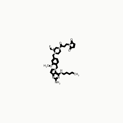 CCCCCNc1nc(N)nc2ccn(Cc3ccc(CN4CCN(C(=O)CCN5C(=O)C=CC5=O)C[C@@H]4CF)cc3OC)c12